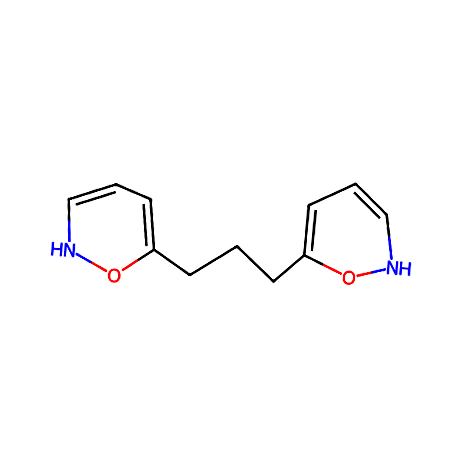 C1=CNOC(CCCC2=CC=CNO2)=C1